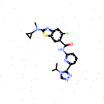 CC(C)n1cnnc1-c1cccc(NC(=O)c2cc3sc(N(C)C4CC4)nc3cc2F)n1